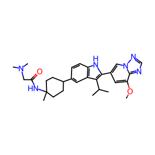 COc1cc(-c2[nH]c3ccc(C4CCC(C)(NC(=O)CN(C)C)CC4)cc3c2C(C)C)cn2ncnc12